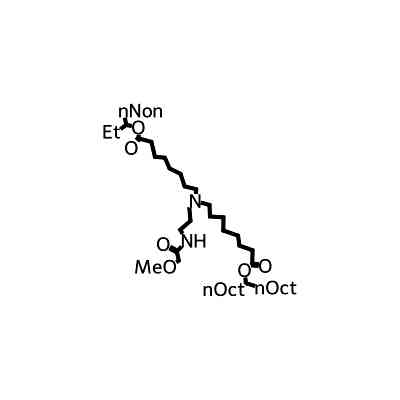 CCCCCCCCCC(CC)OC(=O)CCCCCCCN(CCCCCCCC(=O)OC(CCCCCCCC)CCCCCCCC)CCCNC(=O)COC